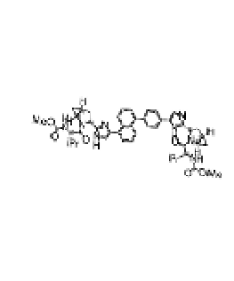 COC(=O)N[C@H](C(=O)N1[C@@H]2C[C@@H]2C[C@H]1c1nc(-c2cccc3c(-c4ccc(-c5cnc([C@@H]6C[C@H]7C[C@H]7N6C(=O)[C@@H](NC(=O)OC)C(C)C)[nH]5)cc4)cccc23)c[nH]1)C(C)C